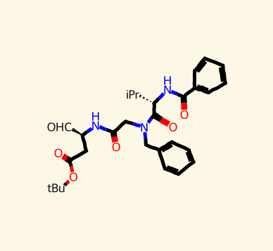 CC(C)[C@H](NC(=O)c1ccccc1)C(=O)N(CC(=O)N[C@H](C=O)CC(=O)OC(C)(C)C)Cc1ccccc1